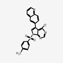 Cc1ccc(S(=O)(=O)n2cc(-c3ccc4ncccc4c3)c3c(Cl)ncnc32)cc1